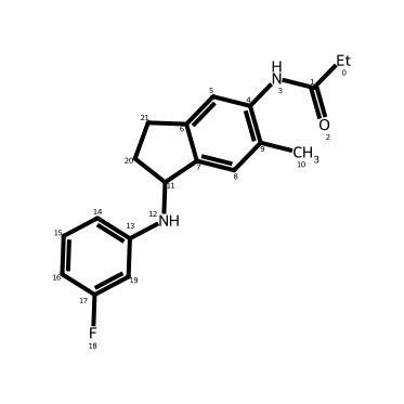 CCC(=O)Nc1cc2c(cc1C)C(Nc1cccc(F)c1)CC2